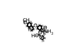 COc1ccc2c(Oc3ccc(S(N)(=O)=NC[C@@H]4CCCN4C(=O)O)cc3)ccnc2c1